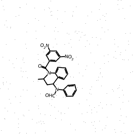 CC1CC(N(C=O)c2ccccc2)c2ccccc2N1C(=O)c1cc([N+](=O)[O-])cc([N+](=O)[O-])c1